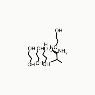 CC(C)C(N)=O.OCCO.OCCO.OCCO.OCCO